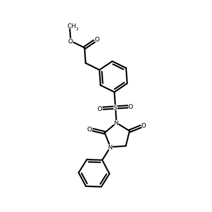 COC(=O)Cc1cccc(S(=O)(=O)N2C(=O)CN(c3ccccc3)C2=O)c1